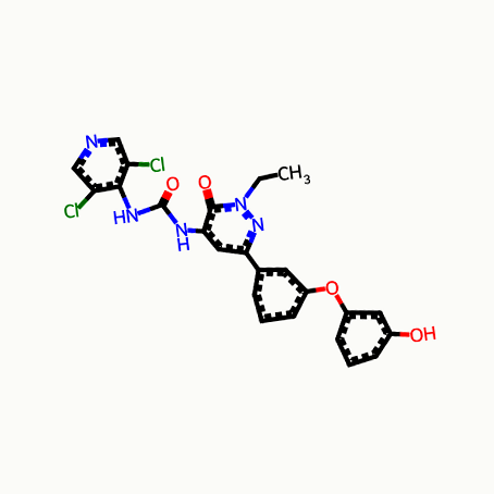 CCn1nc(-c2cccc(Oc3cccc(O)c3)c2)cc(NC(=O)Nc2c(Cl)cncc2Cl)c1=O